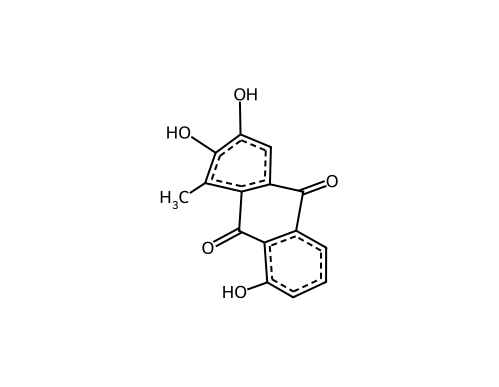 Cc1c(O)c(O)cc2c1C(=O)c1c(O)cccc1C2=O